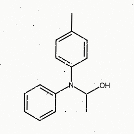 Cc1ccc(N(c2ccccc2)C(C)O)cc1